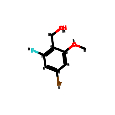 COc1cc(Br)cc(F)c1CO